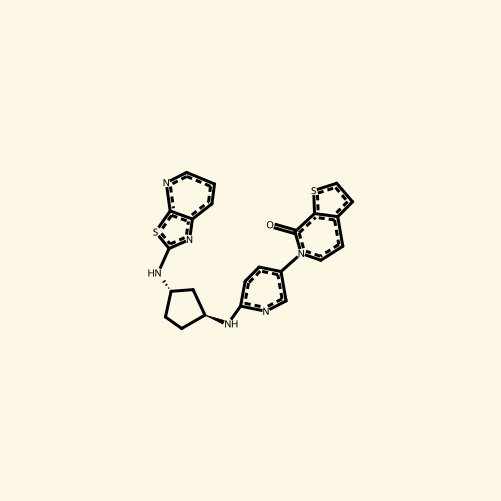 O=c1c2sccc2ccn1-c1ccc(N[C@H]2CC[C@H](Nc3nc4cccnc4s3)C2)nc1